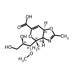 CO[C@H]([C@H](O)CO)[C@]1(C)OC(C(=O)O)=C[C@H]2OC(C)=N[C@@H]21